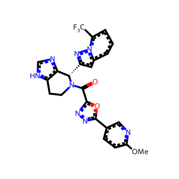 COc1ccc(-c2nnc(C(=O)N3CCc4[nH]cnc4[C@@H]3c3cc4cccc(C(F)(F)F)n4n3)o2)cn1